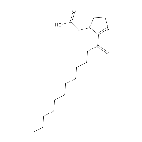 CCCCCCCCCCCC(=O)C1=NCCN1CC(=O)O